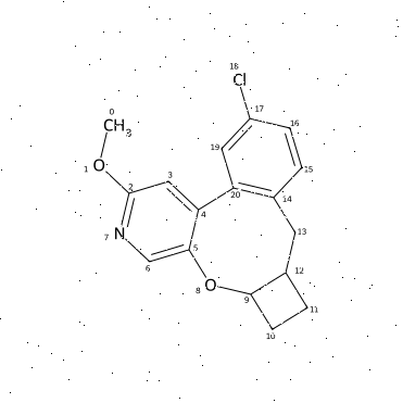 COc1cc2c(cn1)OC1CCC1Cc1ccc(Cl)cc1-2